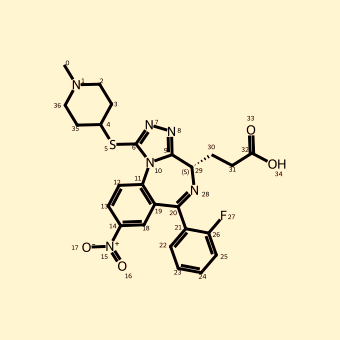 CN1CCC(Sc2nnc3n2-c2ccc([N+](=O)[O-])cc2C(c2ccccc2F)=N[C@H]3CCC(=O)O)CC1